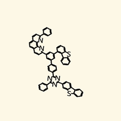 c1ccc(-c2ccc3ccc4ccc(-c5cc(-c6ccc(-c7nc(-c8ccccc8)nc(-c8ccc9c(c8)sc8ccccc89)n7)cc6)cc(-c6cccc7sc8ccccc8c67)c5)nc4c3n2)cc1